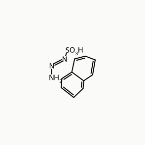 NN=NS(=O)(=O)O.c1ccc2ccccc2c1